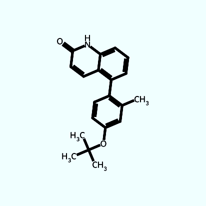 Cc1cc(OC(C)(C)C)ccc1-c1cccc2[nH]c(=O)ccc12